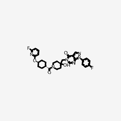 O=c1c2cnn(-c3ccc(F)cc3)c2ncn1CC1(O)CCN(C(=O)[C@H]2CC[C@H](Oc3cccc(F)n3)CC2)CC1